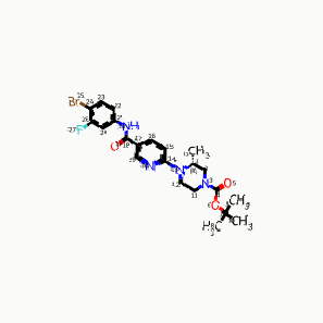 C[C@@H]1CN(C(=O)OC(C)(C)C)CCN1c1ccc(C(=O)Nc2ccc(Br)c(F)c2)cn1